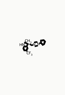 C[C@H]1Nc2ccc(C(F)(F)F)cc2[C@H]1CCN1CCN(c2ccccc2)CC1